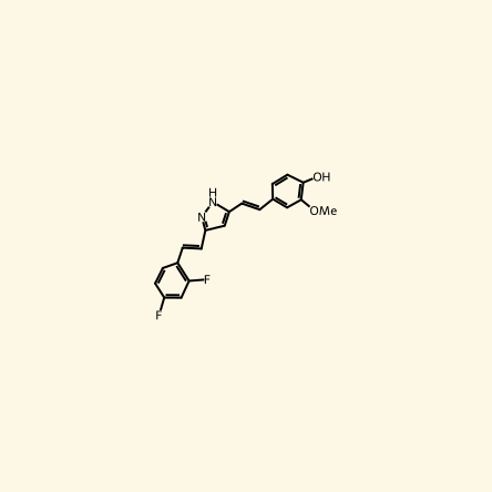 COc1cc(/C=C/c2cc(/C=C/c3ccc(F)cc3F)n[nH]2)ccc1O